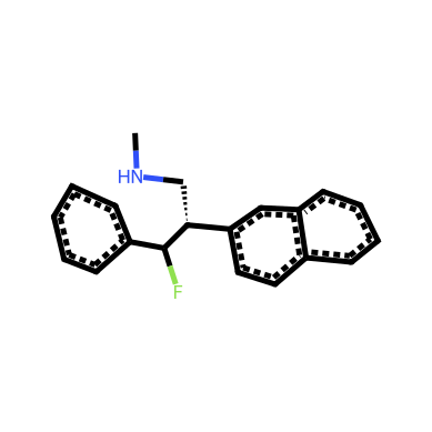 CNC[C@H](c1ccc2ccccc2c1)C(F)c1ccccc1